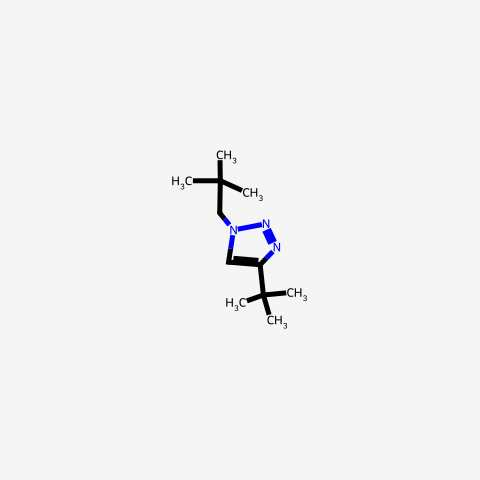 CC(C)(C)Cn1cc(C(C)(C)C)nn1